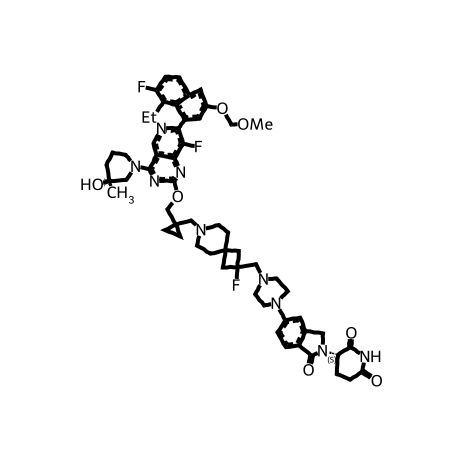 CCc1c(F)ccc2cc(OCOC)cc(-c3ncc4c(N5CCC[C@@](C)(O)C5)nc(OCC5(CN6CCC7(CC6)CC(F)(CN6CCN(c8ccc9c(c8)CN([C@H]8CCC(=O)NC8=O)C9=O)CC6)C7)CC5)nc4c3F)c12